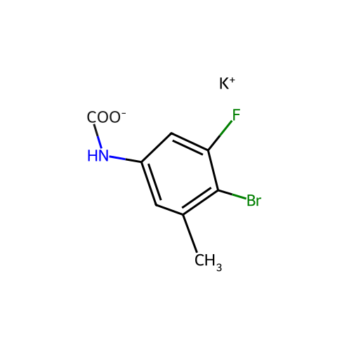 Cc1cc(NC(=O)[O-])cc(F)c1Br.[K+]